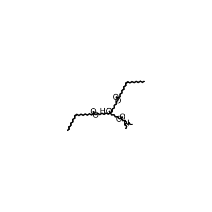 CCCCCCCC/C=C\CCCCCCCC(=O)OCCCCCCC(O)(CCCCCCOC(=O)CCCCCCC/C=C\CCCCCCCC)CCCCOC(=O)CCN(CCC)CCC